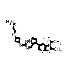 COCCO[C@H]1C[C@@H](Nc2ncc3c(-c4cnc5nc(C)n(C(C)C)c5c4)ccn3n2)C1